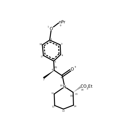 CCCOc1ccc([C@H](C)C(=O)N2CCCC[C@H]2C(=O)OCC)cc1